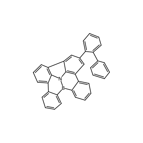 c1ccc(-c2ccccc2-c2cc3c4c(c2)c2cccc5c2n4B(c2ccccc2-5)c2ccccc2-3)cc1